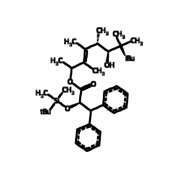 CC[C@H](C)C(C)(C)[C@@H](O)[C@@H](C)/C(C)=C(\C)C(C)OC(=O)[C@H](O[Si](C)(C)C(C)(C)C)C(c1ccccc1)c1ccccc1